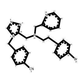 N#Cc1ccc(Cn2cnnc2CN(CCc2ccc(Br)cc2)Cc2ccccn2)cc1